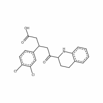 O=C(O)CC(CC(=O)C1CCc2ccccc2N1)c1ccc(Cl)c(Cl)c1